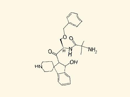 CC(C)(N)C(=O)N[C@H](COCc1ccccc1)C(=O)C1C(O)c2ccccc2C12CCNCC2